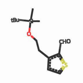 CC(C)(C)[Si](C)(C)OCCc1ccsc1C=O